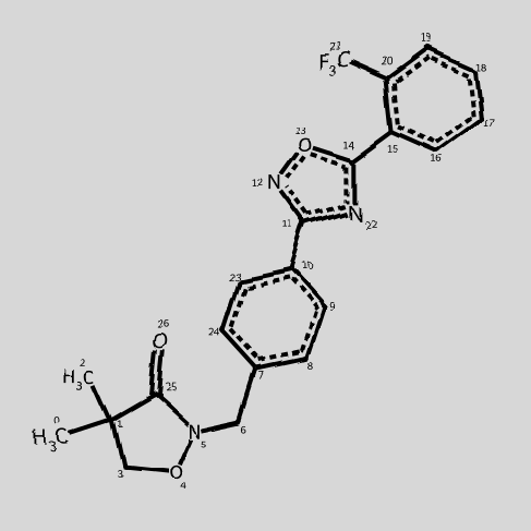 CC1(C)CON(Cc2ccc(-c3noc(-c4ccccc4C(F)(F)F)n3)cc2)C1=O